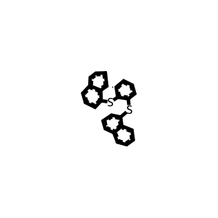 [c]1cccc(Sc2cccc3ccccc23)c1Sc1cccc2ccccc12